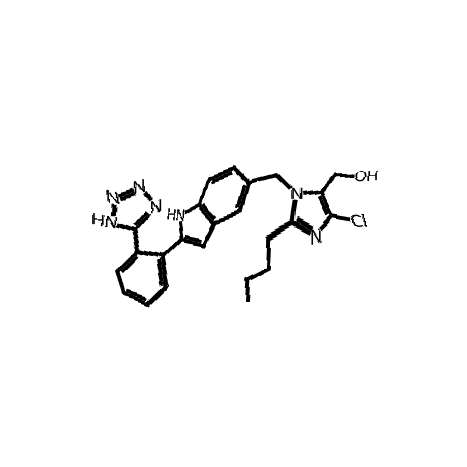 CCCCc1nc(Cl)c(CO)n1Cc1ccc2[nH]c(-c3ccccc3-c3nnn[nH]3)cc2c1